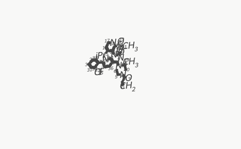 C=CC(=O)N1CCN(c2nc(=O)n(-c3c(C(C)C)ccnc3S(C)(=O)=O)c3nc(-c4ccccc4Cl)c(F)cc23)[C@@H](C)C1